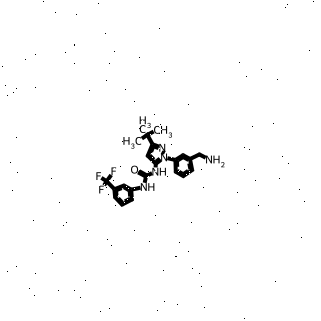 CC(C)(C)c1cc(NC(=O)Nc2cccc(C(F)(F)F)c2)n(-c2cccc(CN)c2)n1